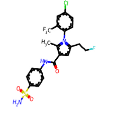 Cc1c(C(=O)Nc2ccc(S(N)(=O)=O)cc2)cc(CCF)n1-c1ccc(Cl)cc1C(F)(F)F